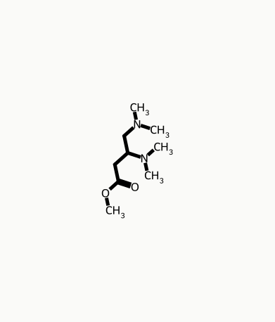 COC(=O)CC(CN(C)C)N(C)C